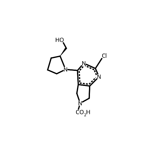 O=C(O)N1Cc2nc(Cl)nc(N3CCC[C@H]3CO)c2C1